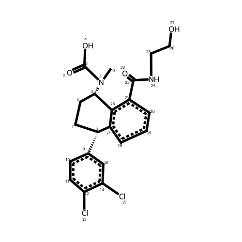 CN(C(=O)O)[C@H]1CC[C@@H](c2ccc(Cl)c(Cl)c2)c2cccc(C(=O)NCCO)c21